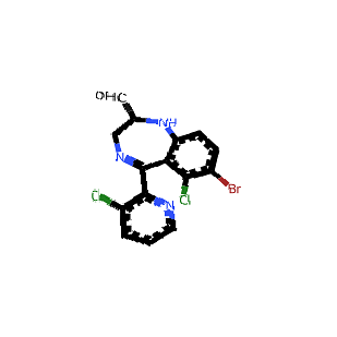 O=CC1CN=C(c2ncccc2Cl)c2c(ccc(Br)c2Cl)N1